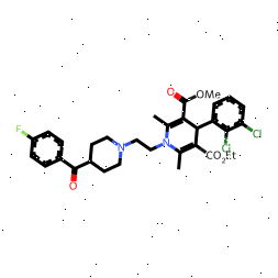 CCOC(=O)C1=C(C)N(CCN2CCC(C(=O)c3ccc(F)cc3)CC2)C(C)=C(C(=O)OC)C1c1cccc(Cl)c1Cl